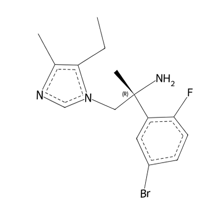 CCc1c(C)ncn1C[C@](C)(N)c1cc(Br)ccc1F